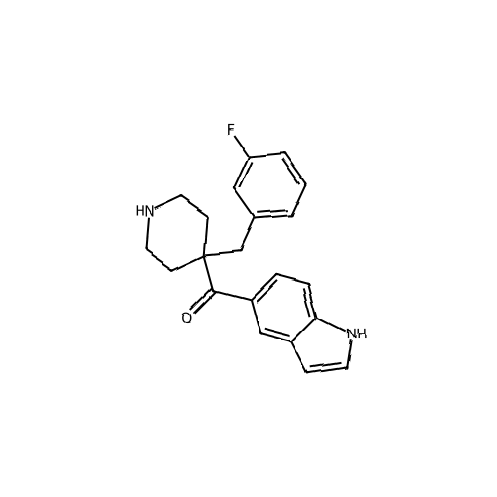 O=C(c1ccc2[nH]ccc2c1)C1(Cc2cccc(F)c2)CCNCC1